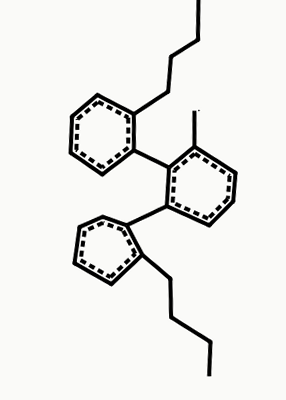 [CH2]c1cccc(-c2ccccc2CCCC)c1-c1ccccc1CCCC